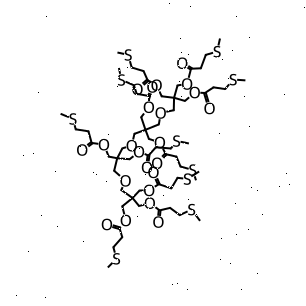 CSCCC(=O)OCC(COCC(COCC(COC(=O)CCSC)(COC(=O)CCSC)COC(=O)CCSC)(COC(=O)CCSC)COC(=O)CCSC)(COCC(COC(=O)CCSC)(COC(=O)CCSC)COC(=O)CCSC)COC(=O)CCSC